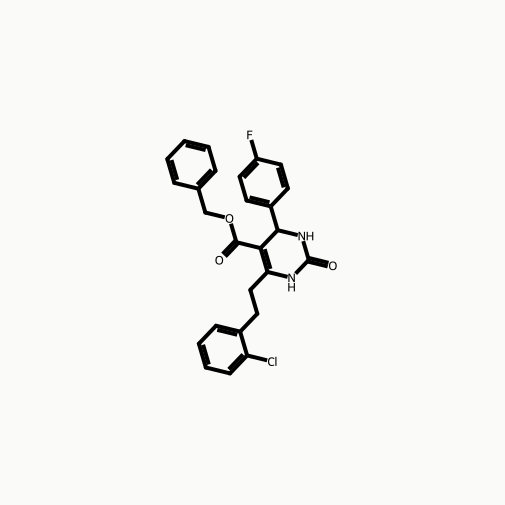 O=C1NC(CCc2ccccc2Cl)=C(C(=O)OCc2ccccc2)C(c2ccc(F)cc2)N1